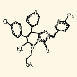 CC1C(c2ccc(Cl)cc2)=C(c2ccncc2)c2nn(Cc3ccc(C(F)(F)F)nc3)c(=O)n2N1CCO